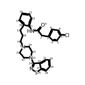 O=C(Cc1ccc(Cl)cc1)Nc1ccccc1CCCN1CCN(c2nsc3ccccc23)CC1